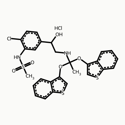 CC(NCC(O)c1ccc(Cl)c(NS(C)(=O)=O)c1)(Oc1csc2ccccc12)Oc1csc2ccccc12.Cl